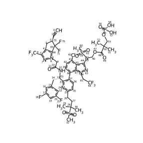 C#C[C@@H]1Cc2c(C(F)(F)F)nn(CC(=O)N[C@@H](Cc3cc(F)cc(F)c3)c3nc(CCC(C)(C)S(C)(=O)=O)ccc3-c3ccc(Cl)c4c(N(COC(=O)C(C)(C)COP(=O)(O)O)S(C)(=O)=O)nn(CC(F)(F)F)c34)c2C1(F)F